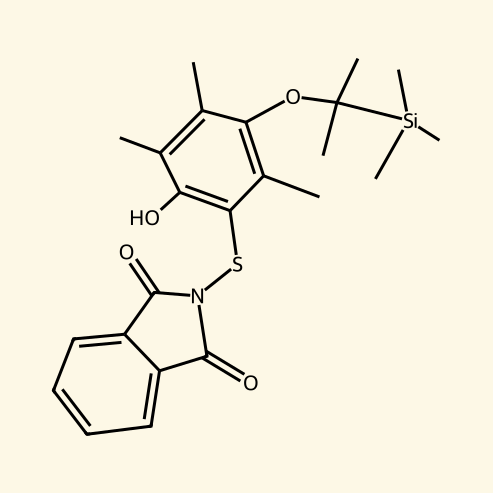 Cc1c(C)c(OC(C)(C)[Si](C)(C)C)c(C)c(SN2C(=O)c3ccccc3C2=O)c1O